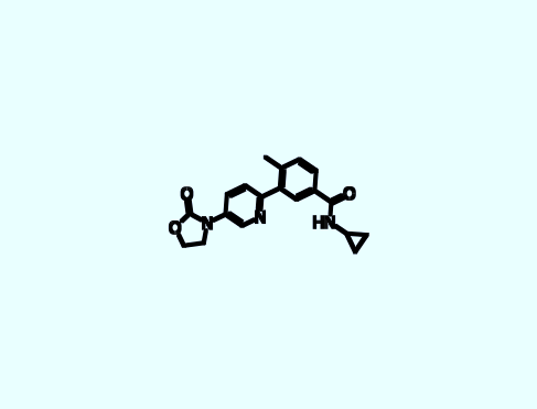 Cc1ccc(C(=O)NC2CC2)cc1-c1ccc(N2CCOC2=O)cn1